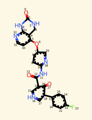 O=C1NCc2c(Oc3ccc(NC(=O)c4c[nH]cc(-c5ccc(F)cc5)c4=O)nc3)ccnc2N1